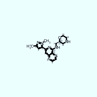 Cc1cc(-c2cc3nccnc3c(NC[C@@H]3CNCCO3)n2)n(C)n1